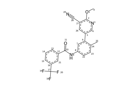 COc1ncc(-c2cc(NC(=O)c3cccc(C(F)(F)F)c3)ccc2C)cc1C#N